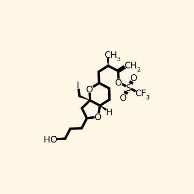 C=C(OS(=O)(=O)C(F)(F)F)[C@H](C)CC1CC[C@@H]2OC(CCCO)C[C@]2(CI)O1